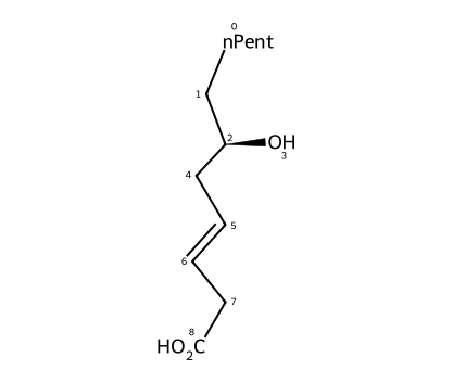 CCCCCC[C@@H](O)C/C=C/CC(=O)O